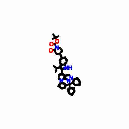 CC(C)c1c(-c2ccnc3c2cnn3C(c2ccccc2)(c2ccccc2)c2ccccc2)[nH]c2ccc(C3CCN(C(=O)OC(C)(C)C)C(=O)C3)cc12